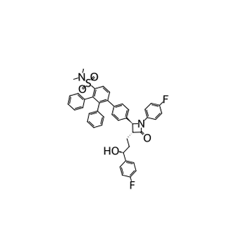 CN(C)S(=O)(=O)c1ccc(-c2ccc([C@@H]3[C@@H](CC[C@H](O)c4ccc(F)cc4)C(=O)N3c3ccc(F)cc3)cc2)c(-c2ccccc2)c1-c1ccccc1